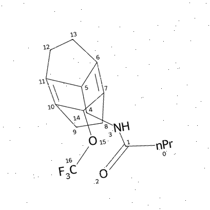 CCCC(=O)NCC1C2=C3CCC(=C1CC2)C3OC(F)(F)F